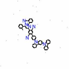 Cc1ccccc1-c1cc(-c2cc(C#N)c(-c3ccc(-n4c5ccccc5c5cc(-n6c7ccccc7c7ccccc76)ccc54)cc3)cc2C#N)nc(-c2ccccc2C#N)n1